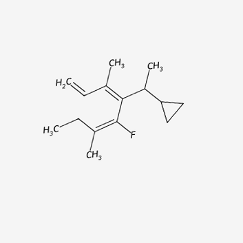 C=C/C(C)=C(\C(F)=C(\C)CC)C(C)C1CC1